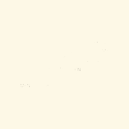 CNCc1ccc(COc2scc(-c3ccc4c(c3)OCO4)c2C#N)cc1